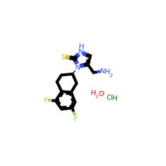 Cl.NCc1c[nH]c(=S)n1[C@H]1CCc2c(F)cc(F)cc2C1.O